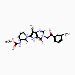 COc1cccc(C(=O)Cn2cnc3c(C#N)c(N4CCCC(NC(=O)OC(C)(C)C)C4I)[nH]c3c2=O)c1